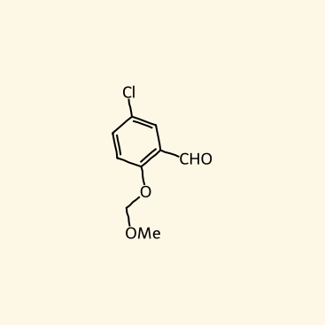 COCOc1ccc(Cl)cc1C=O